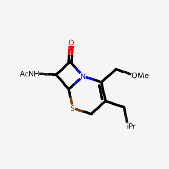 COCC1=C(CC(C)C)CSC2C(NC(C)=O)C(=O)N12